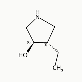 CC[C@H]1CNC[C@@H]1O